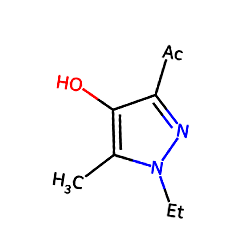 CCn1nc(C(C)=O)c(O)c1C